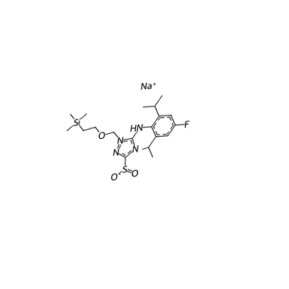 CC(C)c1cc(F)cc(C(C)C)c1Nc1nc(S(=O)[O-])nn1COCC[Si](C)(C)C.[Na+]